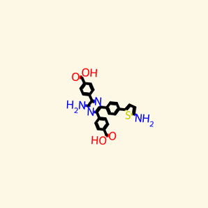 Nc1ccc(-c2ccc(-c3nc(-c4ccc(C(=O)O)cc4)c(N)nc3-c3ccc(C(=O)O)cc3)cc2)s1